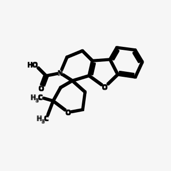 CC1(C)CC2(CCO1)c1oc3ccccc3c1CCN2C(=O)O